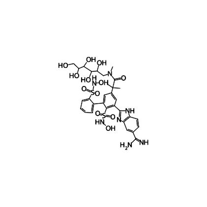 CN(CC(O)C(O)C(O)C(O)CO)C(=O)C(C)(C)c1cc(-c2nc3cc(C(=N)N)ccc3[nH]2)c(S(=O)(=O)NO)c(-c2ccccc2S(=O)(=O)NO)c1